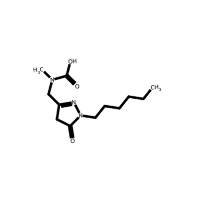 CCCCCCN1N=C(CN(C)C(=O)O)CC1=O